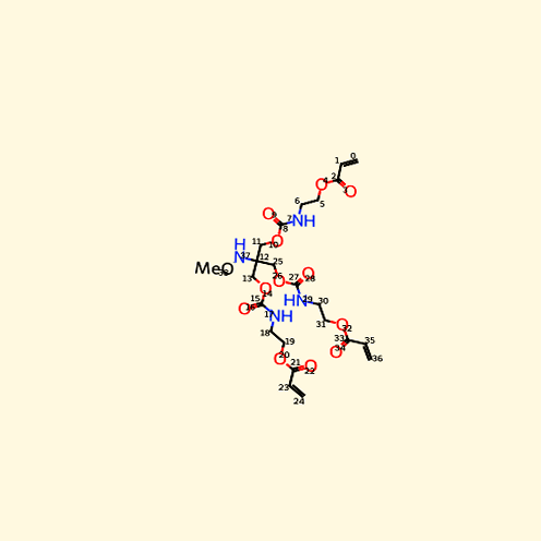 C=CC(=O)OCCNC(=O)OCC(COC(=O)NCCOC(=O)C=C)(COC(=O)NCCOC(=O)C=C)NOC